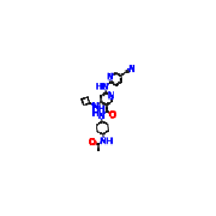 CC(=O)NC1CCC(NC(=O)c2cnc(Nc3ccc(C#N)cn3)cc2NC2CCC2)CC1